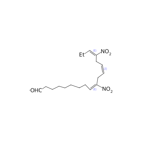 CC/C=C(\C/C=C\C/C(=C\CCCCCCC[C]=O)[N+](=O)[O-])[N+](=O)[O-]